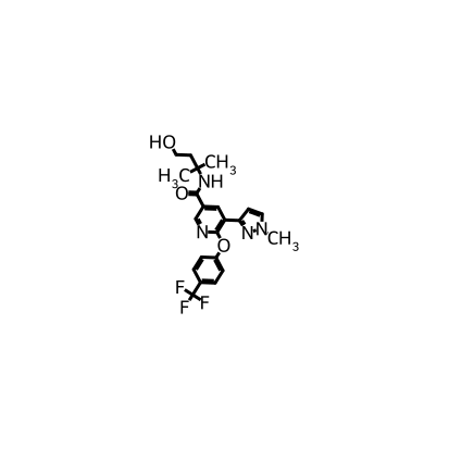 Cn1ccc(-c2cc(C(=O)NC(C)(C)CCO)cnc2Oc2ccc(C(F)(F)F)cc2)n1